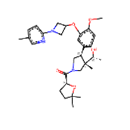 COc1ccc([C@@H]2CN(C(=O)[C@@H]3CCC(C)(C)O3)C[C@@]2(C)[C@@H](C)O)cc1OC1CN(c2ccc(C)cn2)C1